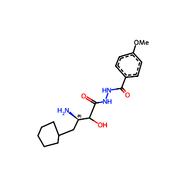 COc1ccc(C(=O)NNC(=O)C(O)[C@H](N)CC2CCCCC2)cc1